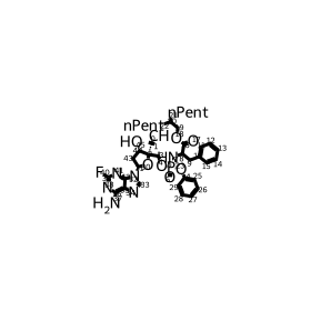 C#C[C@]1(CO[P@@](=O)(NC(Cc2ccccc2)C(=O)OCC(CCCCC)CCCCC)Oc2ccccc2)O[C@@H](n2cnc3c(N)nc(F)nc32)C[C@@H]1O